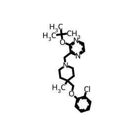 CC1(COc2ccccc2Cl)CCN(Cc2nccnc2OC(C)(C)C)CC1